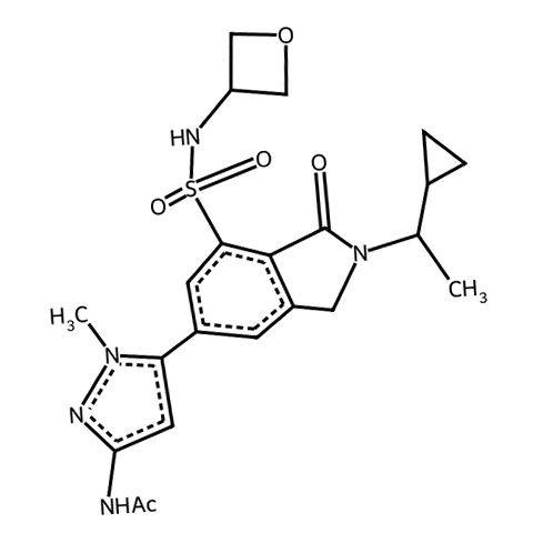 CC(=O)Nc1cc(-c2cc3c(c(S(=O)(=O)NC4COC4)c2)C(=O)N(C(C)C2CC2)C3)n(C)n1